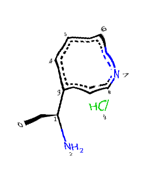 C[C@H](N)c1cccnc1.Cl